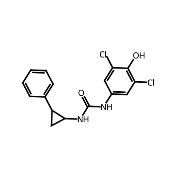 O=C(Nc1cc(Cl)c(O)c(Cl)c1)NC1CC1c1ccccc1